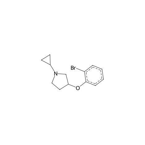 Brc1ccccc1OC1CCN(C2CC2)C1